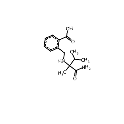 CC(C)C(C)(NCc1ccccc1C(=O)O)C(N)=O